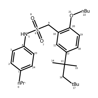 CC[CH]c1ccc(NS(=O)(=O)Cc2cc(C(C)(C)CC(C)(C)C)ccc2OCCCC)cc1